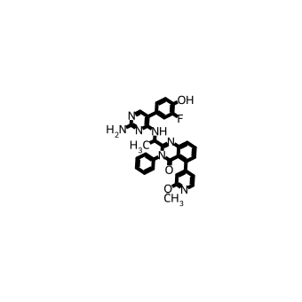 COc1cc(-c2cccc3nc(C(C)Nc4nc(N)ncc4-c4ccc(O)c(F)c4)n(-c4ccccc4)c(=O)c23)ccn1